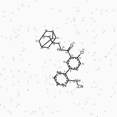 N#CNc1nccnc1-c1ccc(Cl)c(C(=O)NCC23CC4CC(CC(C4)C2)C3)c1